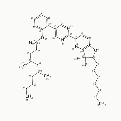 CCCCCCCC1Oc2ccc(-c3ncc(-c4ccccc4O[SiH2]CCC(C)CC(C)CCCC)cn3)nc2C1(F)F